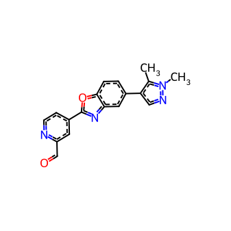 Cc1c(-c2ccc3oc(-c4ccnc(C=O)c4)nc3c2)cnn1C